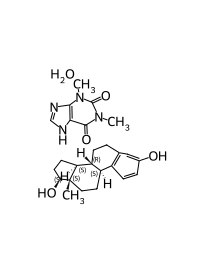 C[C@]12CC[C@@H]3c4ccc(O)cc4CC[C@H]3[C@@H]1CC[C@@H]2O.Cn1c(=O)c2[nH]cnc2n(C)c1=O.O